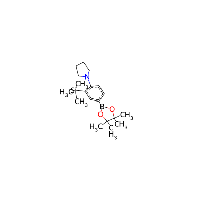 CC1(C)OB(c2ccc(N3CCCC3)c([Si](C)(C)C)c2)OC1(C)C